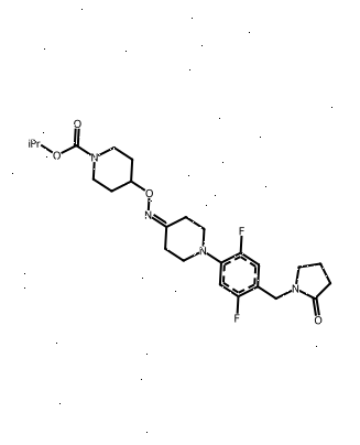 CC(C)OC(=O)N1CCC(ON=C2CCN(c3cc(F)c(CN4CCCC4=O)cc3F)CC2)CC1